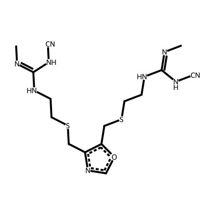 CN=C(NC#N)NCCSCc1ncoc1CSCCNC(=NC)NC#N